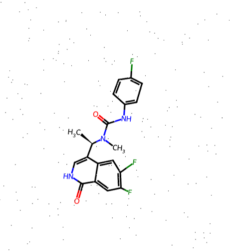 C[C@H](c1c[nH]c(=O)c2cc(F)c(F)cc12)N(C)C(=O)Nc1ccc(F)cc1